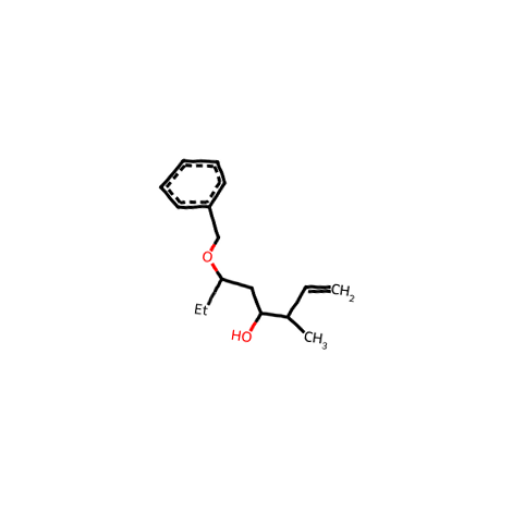 C=CC(C)C(O)CC(CC)OCc1ccccc1